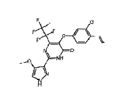 C=Cc1ccc(Oc2c(C(F)(F)C(F)(F)F)nc(-c3n[nH]cc3OC)[nH]c2=O)cc1Cl